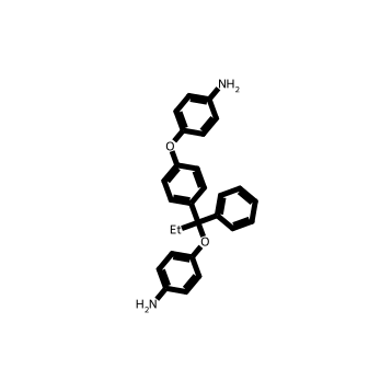 CCC(Oc1ccc(N)cc1)(c1ccccc1)c1ccc(Oc2ccc(N)cc2)cc1